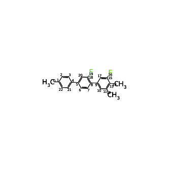 Cc1ccc(-c2ccc(-c3cc(C)c(C)c(F)c3)c(F)c2)cc1